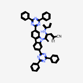 C=CC(=C)NC(/C=C(/C#N)CC)=C(/C)n1c2cc(-c3nc(-c4ccccc4)nc(-c4ccccc4)n3)ccc2c2ccc(-c3nc(-c4ccccc4)nc(-c4ccccc4)n3)cc21